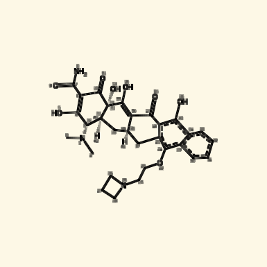 CN(C)[C@@H]1C(O)=C(C(N)=O)C(=O)[C@@]2(O)C(O)=C3C(=O)c4c(c(OCCN5CCC5)c5ccccc5c4O)C[C@H]3C[C@@H]12